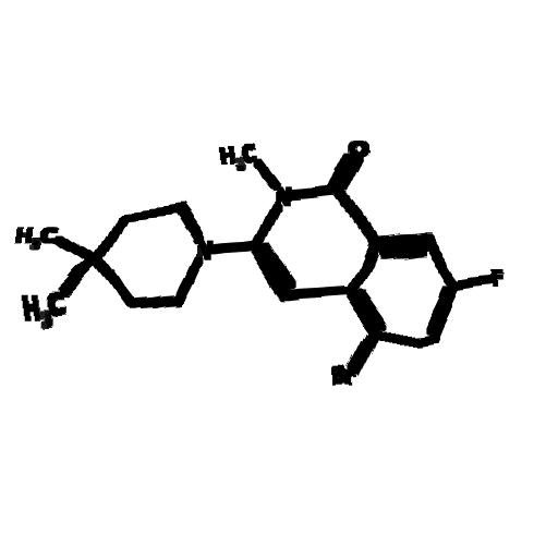 Cn1c(N2CCC(C)(C)CC2)cc2c(Br)cc(F)cc2c1=O